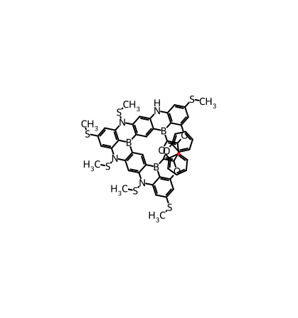 CSc1cc2c3c(c1)Oc1c(oc4ccccc14)B3c1cc3c(cc1N2)N(SC)c1cc(SC)cc2c1B3c1cc3c(cc1N2SC)N(SC)c1cc(SC)cc2c1B3c1oc3ccccc3c1O2